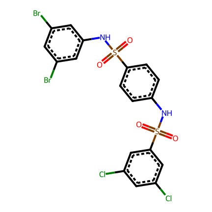 O=S(=O)(Nc1cc(Br)cc(Br)c1)c1ccc(NS(=O)(=O)c2cc(Cl)cc(Cl)c2)cc1